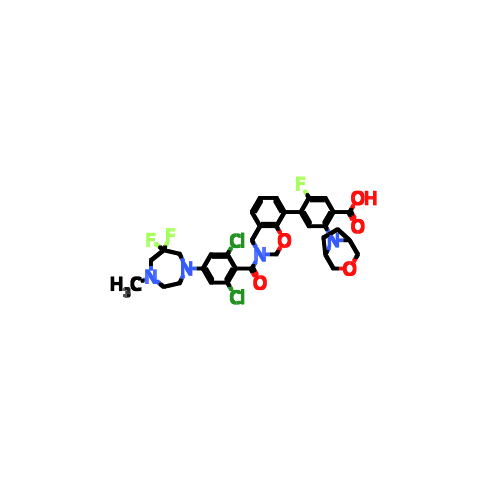 CN1CCN(c2cc(Cl)c(C(=O)N3COc4c(cccc4-c4cc(N5C6CCC5COC6)c(C(=O)O)cc4F)C3)c(Cl)c2)CC(F)(F)C1